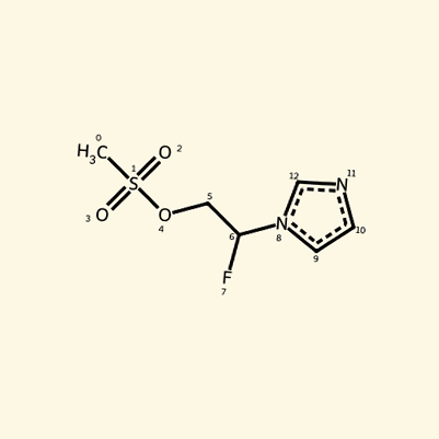 CS(=O)(=O)OCC(F)n1ccnc1